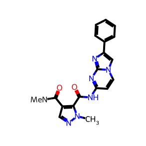 CNC(=O)c1cnn(C)c1C(=O)Nc1ccn2cc(-c3ccccc3)nc2n1